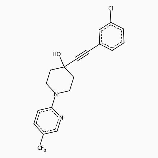 OC1(C#Cc2cccc(Cl)c2)CCN(c2ccc(C(F)(F)F)cn2)CC1